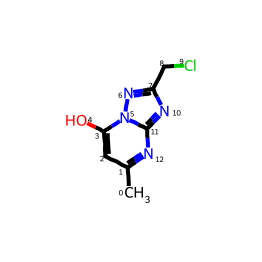 Cc1cc(O)n2nc(CCl)nc2n1